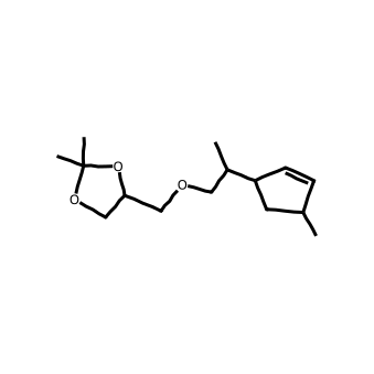 CC1C=CC(C(C)COCC2COC(C)(C)O2)C1